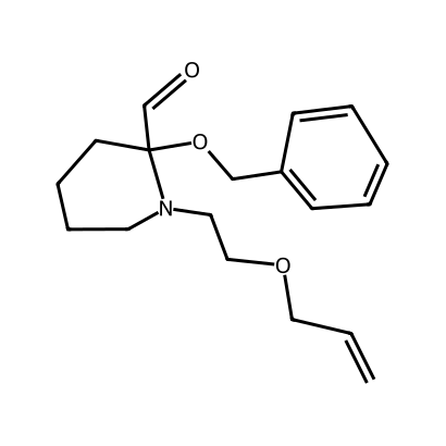 C=CCOCCN1CCCCC1(C=O)OCc1ccccc1